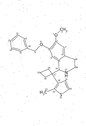 COc1cc2c(cc1OCc1ccccc1)C(C1(c3ccsc3C)CCC1)NCC2